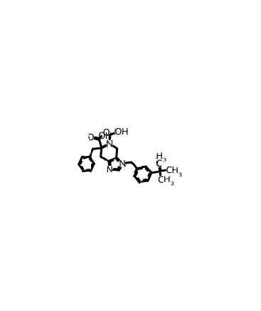 CC(C)(C)c1cccc(Cn2cnc3c2CN(C(=O)O)C(Cc2ccccc2)(C(=O)O)C3)c1